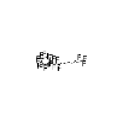 FC(CCCCCCC(F)(F)F)C(F)(F)C(F)(F)[N+]1(F)C(F)(F)C(F)(F)C(F)(F)C(F)(F)C1(F)F